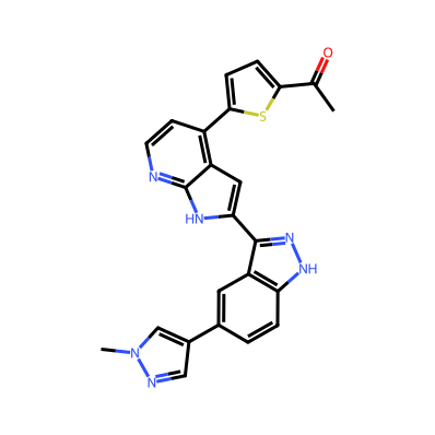 CC(=O)c1ccc(-c2ccnc3[nH]c(-c4n[nH]c5ccc(-c6cnn(C)c6)cc45)cc23)s1